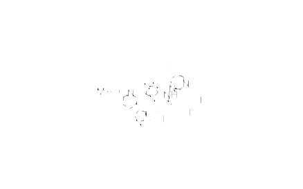 COc1cccc(-c2nnc(NSC(C)C(C)c3ncc(Cl)cn3)n2C(C)c2ccno2)n1